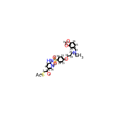 CC(=O)SCC(=O)c1ccc(NS(=O)(=O)c2ccc(OCCCN(C)Cc3ccc4c(c3)OCO4)cc2)nc1